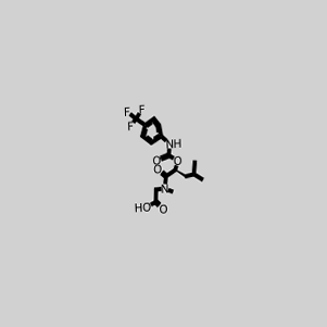 CC(C)C[C@H](OC(=O)Nc1ccc(C(F)(F)F)cc1)C(=O)N(C)CC(=O)O